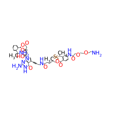 CSSC(C)c1cc(NC(=O)COCCOCCN)ccc1C(=O)OCCCCC(=O)NCC#Cc1cn([C@H](O)C[C@H](CC=O)OC(=O)c2ccccc2C(C)N)c2nc(N)[nH]c(=O)c12